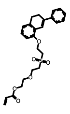 C=CC(=O)OCCOCCS(=O)(=O)CCOc1cccc2c1C=C(c1ccccc1)CC2